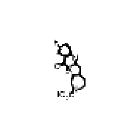 CCn1c(CC2CCCN(C(=O)O)CC2)nc2ccc(F)cc2c1=O